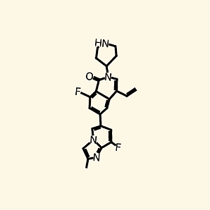 C=Cc1cn(C2CCNCC2)c(=O)c2c(F)cc(-c3cc(F)c4nc(C)cn4c3)cc12